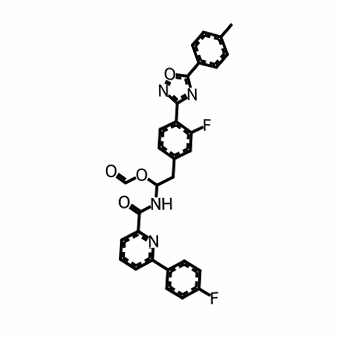 Cc1ccc(-c2nc(-c3ccc(CC(NC(=O)c4cccc(-c5ccc(F)cc5)n4)OC=O)cc3F)no2)cc1